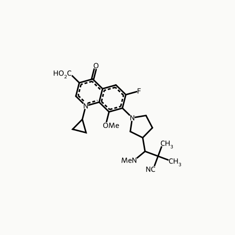 CNC(C1CCN(c2c(F)cc3c(=O)c(C(=O)O)cn(C4CC4)c3c2OC)C1)C(C)(C)C#N